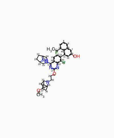 CCc1cccc2cc(O)cc(-c3c(F)cc4c(N5CC6CCC(C5)N6)nc(OCCN5C6CCC57CC(OC)C67)nc4c3F)c12